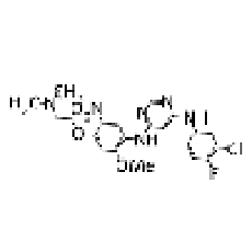 COc1cc(OCCN(C)C)c([N+](=O)[O-])cc1Nc1cc(Nc2ccc(F)c(Cl)c2)ncn1